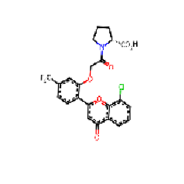 O=C(O)[C@H]1CCCN1C(=O)COc1cc(C(F)(F)F)ccc1-c1cc(=O)c2cccc(Cl)c2o1